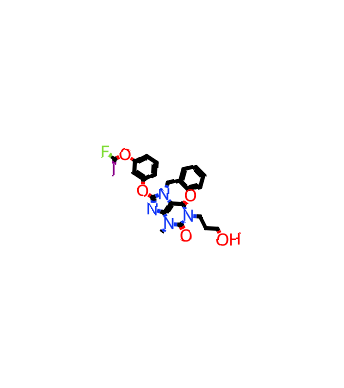 Cn1c(=O)n(CCCO)c(=O)c2c1nc(Oc1cccc(OC(F)I)c1)n2Cc1ccccc1